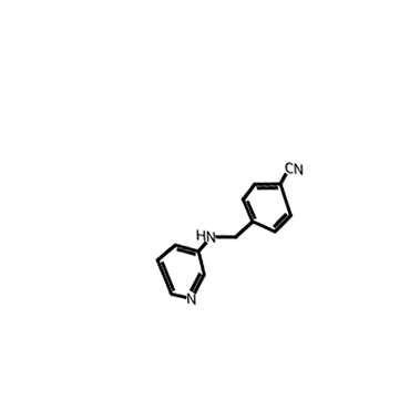 N#Cc1ccc(CNc2cccnc2)cc1